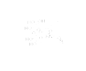 CCCCCCCC(CC(=O)NCCO[Si](C)(C)C(C)(C)C)O[C@@H]1O[C@@H](C)[C@H](O)[C@@H](O)[C@H]1O[C@@H]1O[C@@H](C)[C@H](O)[C@@H](O)[C@H]1O